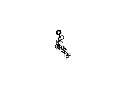 O=C(CC(=S)[N-]c1c[n+](N2CCN(CC(F)(F)F)CC2)no1)c1ccccc1